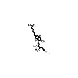 CC#CC[C@@H](C)[C@H](O)/C=C/[C@@H]1[C@H]2CC(CCCCCN(CC)CC)=C[C@H]2C[C@H]1O